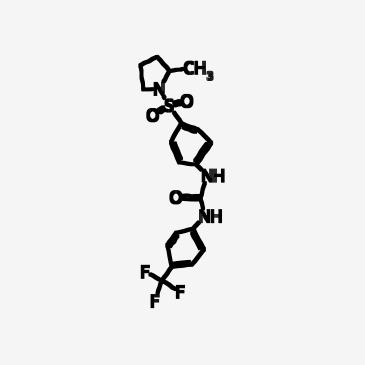 CC1CCCN1S(=O)(=O)c1ccc(NC(=O)Nc2ccc(C(F)(F)F)cc2)cc1